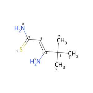 CC(C)(C)C(N)=CC(N)=S